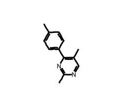 Cc1ccc(-c2nc(C)ncc2C)cc1